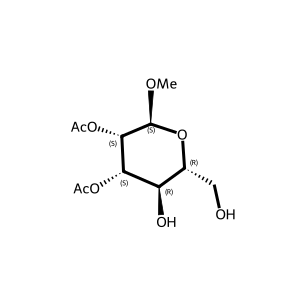 CO[C@H]1O[C@H](CO)[C@@H](O)[C@H](OC(C)=O)[C@@H]1OC(C)=O